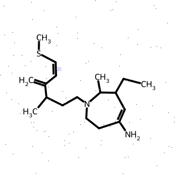 C=C(/C=C\SC)C(C)CCN1CCC(N)=CC(CC)C1C